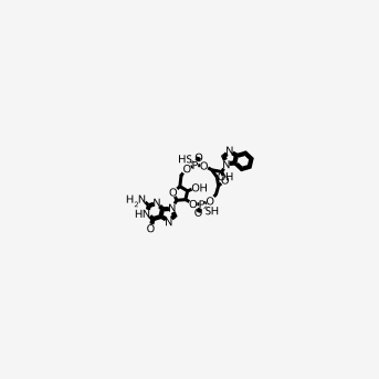 Nc1nc2c(ncn2C2OC3COP(=O)(S)OC4C(O)C(COP(=O)(S)OC2C3O)OC4n2cnc3ccccc32)c(=O)[nH]1